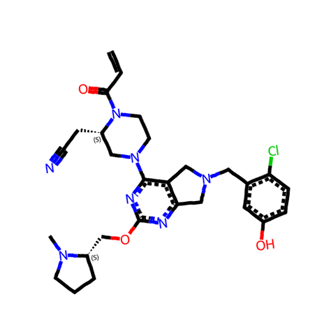 C=CC(=O)N1CCN(c2nc(OC[C@@H]3CCCN3C)nc3c2CN(Cc2cc(O)ccc2Cl)C3)C[C@@H]1CC#N